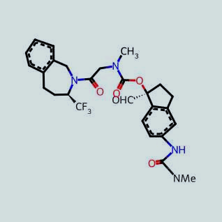 CNC(=O)Nc1ccc2c(c1)CC[C@]2(C=O)OC(=O)N(C)CC(=O)N1Cc2ccccc2CC[C@@H]1C(F)(F)F